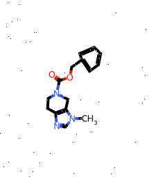 Cn1cnc2c1CN(C(=O)OCc1ccccc1)CC2